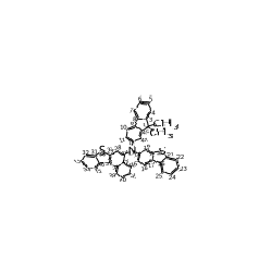 CC1(C)c2ccccc2-c2ccc(N(c3ccc4c(c3)sc3ccccc34)c3cc4sc5ccccc5c4c4ccccc34)cc21